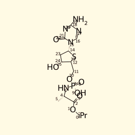 CC(C)OC(=O)[C@H](C)NP(=O)(O)OCC1S[C@@H](n2cnc(N)nc2=O)C[C@H]1O